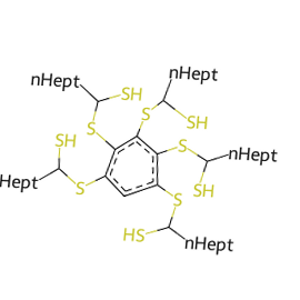 CCCCCCCC(S)Sc1cc(SC(S)CCCCCCC)c(SC(S)CCCCCCC)c(SC(S)CCCCCCC)c1SC(S)CCCCCCC